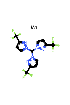 FC(F)(F)c1ccn(C(n2ccc(C(F)(F)F)n2)n2ccc(C(F)(F)F)n2)n1.[Mn]